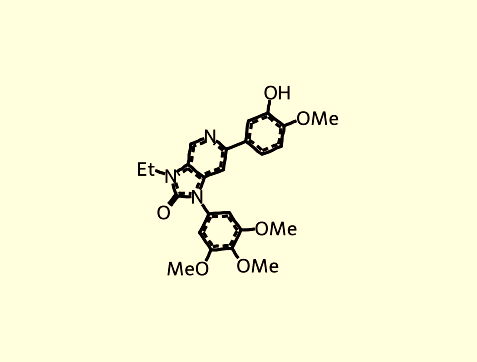 CCn1c(=O)n(-c2cc(OC)c(OC)c(OC)c2)c2cc(-c3ccc(OC)c(O)c3)ncc21